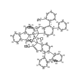 CC(C)c1ccccc1-c1c(-c2ccccc2)ccc2c1C=C(C(C)(C)C)[CH]2[Zr]([Cl])([Cl])([c]1cccc2c1[SiH2]c1ccccc1-2)[CH]1C(C(C)(C)C)=Cc2c1ccc(-c1ccccc1)c2-c1ccccc1C(C)C